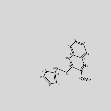 COc1nc2ccccc2nc1CSc1cccs1